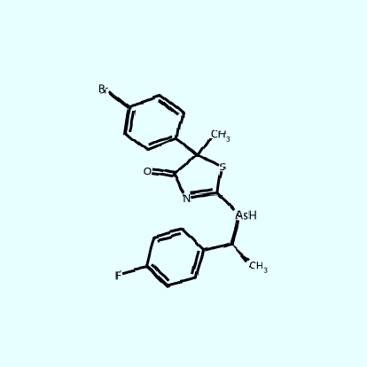 C[C@H]([AsH]C1=NC(=O)C(C)(c2ccc(Br)cc2)S1)c1ccc(F)cc1